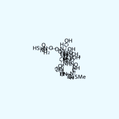 CCC(C)[C@@H]1NC(=O)[C@H](Cc2ccccc2)NC(=O)[C@H](Cc2ccc(O)cc2)NC(=O)[C@@H](NC(=O)[C@@H](NC(=O)[C@H](CO)NC(=O)[C@H](Cc2ccc(O)cc2)NC(=O)COCCOCCNC(=O)[C@@H](N)CS)C(C)O)CNC(=O)NC[C@H](CCSC)NC1=O